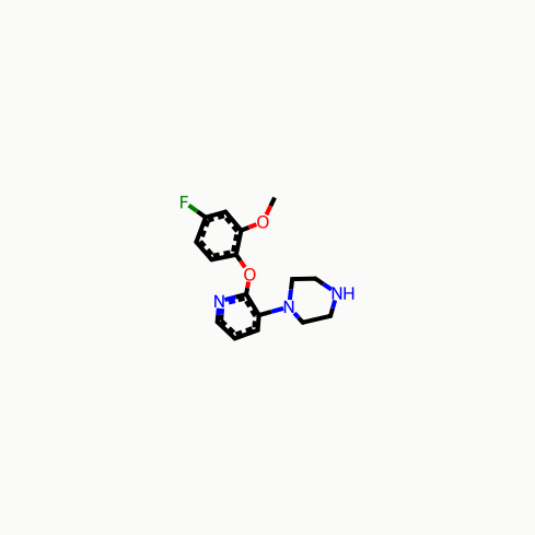 COc1cc(F)ccc1Oc1ncccc1N1CCNCC1